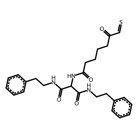 O=C(C=S)CCCCC(=O)NC(C(=O)NCCc1ccccc1)C(=O)NCCc1ccccc1